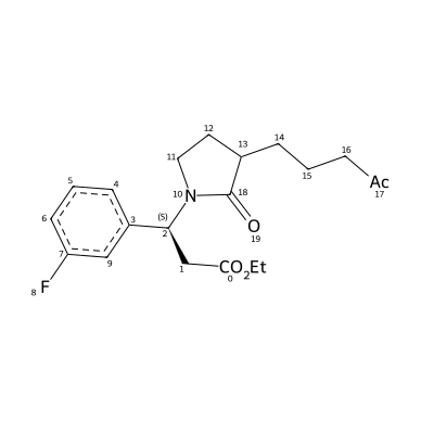 CCOC(=O)C[C@@H](c1cccc(F)c1)N1CCC(CCCC(C)=O)C1=O